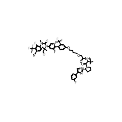 CN(C(=S)N(c1cnc(-c2ccc(OCCCCOCC(=O)N[C@H](C(=O)N3CCC[C@H]3c3nc(-c4cccc(F)c4)c[nH]3)C(C)(C)C)cc2C(F)(F)F)c(F)c1)C(C)(C)C=O)c1ccc(C#N)c(C(F)(F)F)c1F